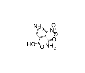 N.NC(=O)c1c(C(=O)O)cccc1[N+](=O)[O-]